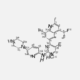 Cc1cc(C(F)F)c2cc(-c3nc(Nc4ccc(N5CCNCC5)cn4)ncc3F)cc(F)c2n1.Cl